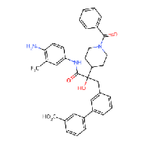 Nc1ccc(NC(=O)C(O)(Cc2cccc(-c3cccc(C(=O)O)c3)c2)C2CCN(C(=O)c3ccccc3)CC2)cc1C(F)(F)F